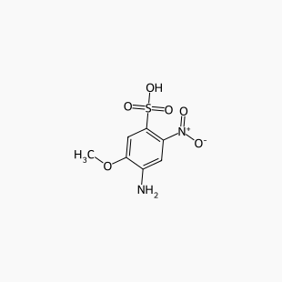 COc1cc(S(=O)(=O)O)c([N+](=O)[O-])cc1N